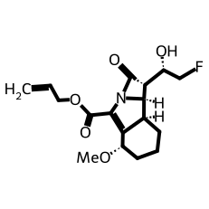 C=CCOC(=O)C1=C2[C@@H](OC)CCC[C@@H]2[C@@H]2[C@@H]([C@H](O)CF)C(=O)N12